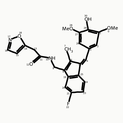 COc1cc(C=C2C(C)=C(CNC(=O)Cc3ccno3)c3cc(F)ccc32)cc(OC)c1O